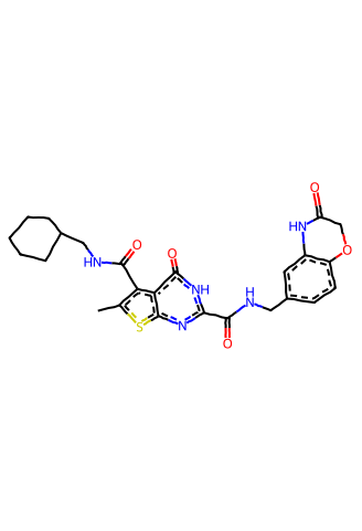 Cc1sc2nc(C(=O)NCc3ccc4c(c3)NC(=O)CO4)[nH]c(=O)c2c1C(=O)NCC1CCCCC1